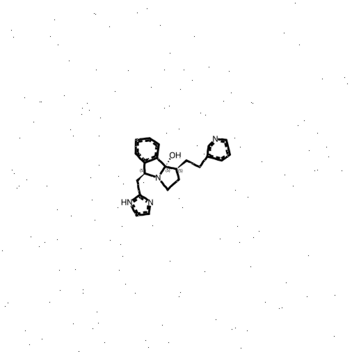 O[C@@]12c3ccccc3[C@H](Cc3ncc[nH]3)N1CC[C@@H]2CCc1cccnc1